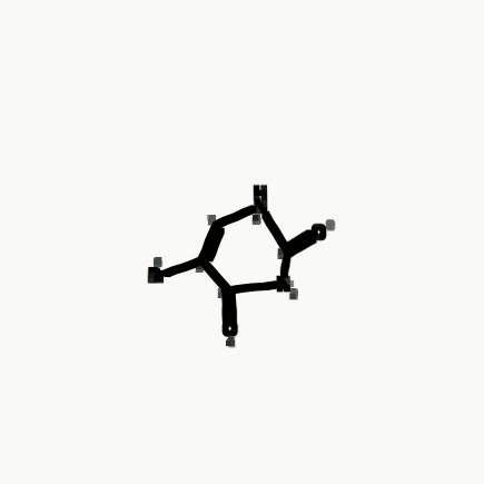 O=C1[N]C(=O)C(Br)=CN1